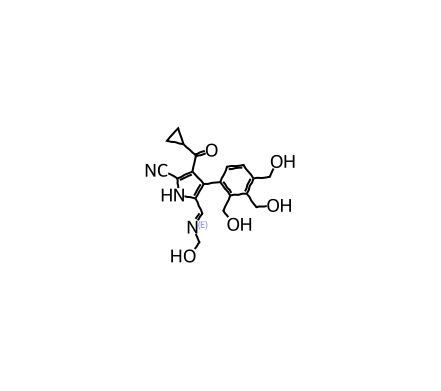 N#Cc1[nH]c(/C=N/CO)c(-c2ccc(CO)c(CO)c2CO)c1C(=O)C1CC1